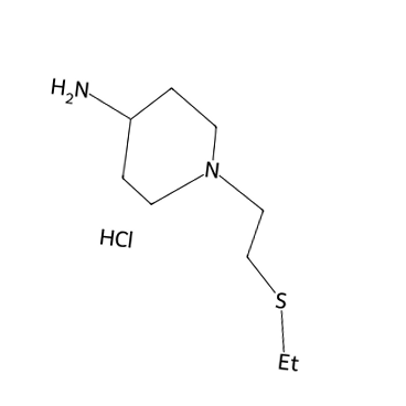 CCSCCN1CCC(N)CC1.Cl